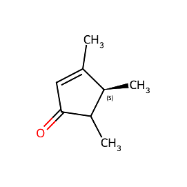 CC1=CC(=O)C(C)[C@@H]1C